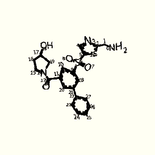 NCc1ncc(S(=O)(=O)c2cc(C(=O)N3CCC(O)C3)cc(-c3ccccc3)c2)s1